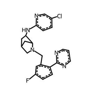 Fc1ccc(-c2ncccn2)c(CN2CC3CC(Nc4ccc(Cl)cn4)C2C3)c1